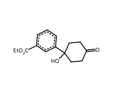 CCOC(=O)c1cccc(C2(O)CCC(=O)CC2)c1